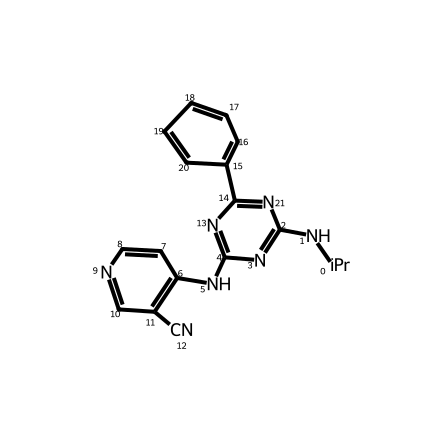 CC(C)Nc1nc(Nc2ccncc2C#N)nc(-c2ccccc2)n1